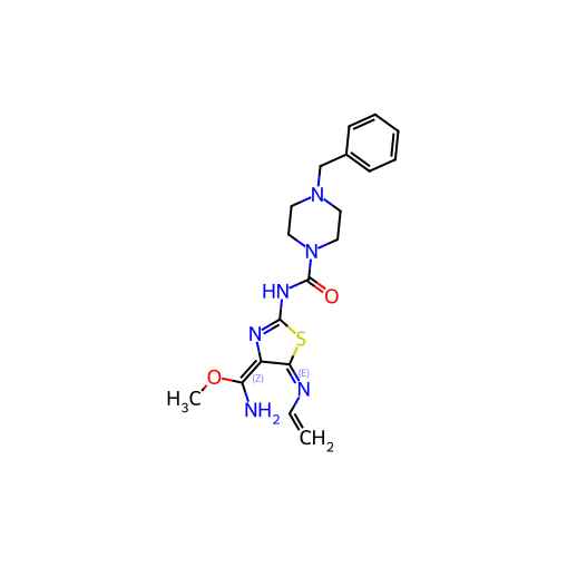 C=C/N=C1/SC(NC(=O)N2CCN(Cc3ccccc3)CC2)=N/C1=C(/N)OC